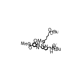 COC(=O)c1cc(OC)c2c(c1)nc(-c1cc3ccc(CN[S+]([O-])C(C)(C)C)nc3n1CCCCCCCC(=O)OC(C)(C)C)n2C